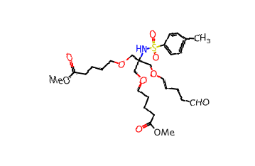 COC(=O)CCCCOCC(COCCCCC=O)(COCCCCC(=O)OC)NS(=O)(=O)c1ccc(C)cc1